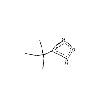 CC(C)(C)c1no[nH]1